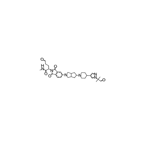 CNC(=O)C(CCC=O)N1C(=O)c2ccc(N3CC4CC(N5CCC(c6cnn(C(C)(C)C=O)c6)CC5)CC4C3)cc2C1=O